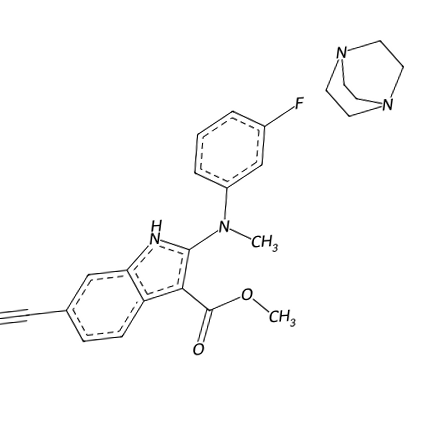 C1CN2CCN1CC2.COC(=O)c1c(N(C)c2cccc(F)c2)[nH]c2cc(C#N)ccc12